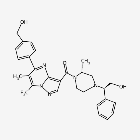 Cc1c(-c2ccc(CO)cc2)nc2c(C(=O)N3CCN([C@@H](CO)c4ccccc4)C[C@H]3C)cnn2c1C(F)(F)F